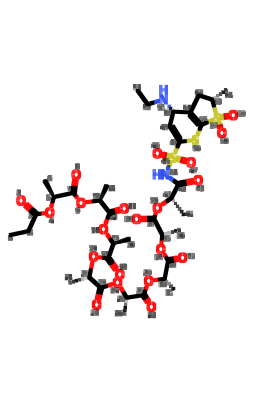 C[CH]C(=O)O[C@@H](C)C(=O)O[C@@H](C)C(=O)O[C@@H](C)C(=O)O[C@@H](C)C(=O)O[C@@H](C)C(=O)O[C@@H](C)C(=O)O[C@@H](C)C(=O)O[C@@H](C)C(=O)NS(=O)(=O)C1=C[C@H](NCC)C2=C(S1)S(=O)(=O)[C@@H](C)C2